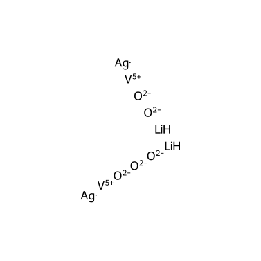 [Ag].[Ag].[LiH].[LiH].[O-2].[O-2].[O-2].[O-2].[O-2].[V+5].[V+5]